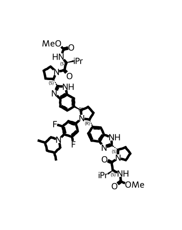 COC(=O)N[C@H](C(=O)N1CCC[C@H]1c1nc2ccc([C@H]3CC[C@H](c4ccc5nc([C@@H]6CCCN6C(=O)[C@@H](NC(=O)OC)C(C)C)[nH]c5c4)N3c3cc(F)c(N4CC(C)CC(C)C4)c(F)c3)cc2[nH]1)C(C)C